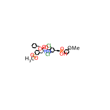 COc1cccc(P(=O)(O)C#Cc2cc(Cl)c(C(=O)N[C@@H](Cc3cccc(S(C)(=O)=O)c3)C(=O)OCc3ccccc3)c(Cl)c2)c1